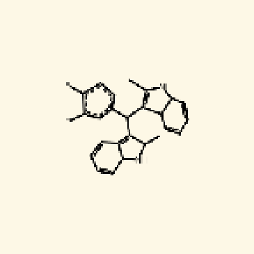 CC1=C(C(C2=C3C=CC=CC3NC2C)c2ccc(F)c(F)c2)C2C=CC=CC2N1